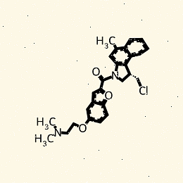 Cc1cc2c(c3ccccc13)[C@H](CCl)CN2C(=O)c1cc2cc(OCCN(C)C)ccc2o1